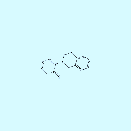 S=C1CC=CC=C1N1[CH]c2ccccc2CC1